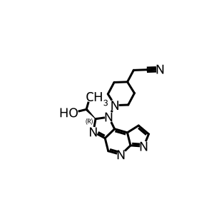 CC(O)[C@@H]1N=c2cnc3c(c2N1N1CCC(CC#N)CC1)C=CN=3